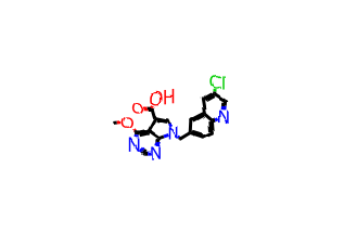 COc1ncnc2c1c(C(=O)O)cn2Cc1ccc2ncc(Cl)cc2c1